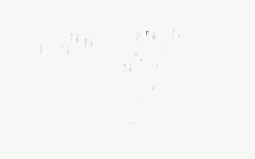 CCn1cc(Cc2cc(C(F)(F)F)nn2-c2ccc(F)cc2[C@@H](C)Oc2cc(Br)cnc2[N+](=O)[O-])nn1